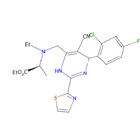 CCOC(=O)[C@H](C)N(CC)CC1=C(C#N)C(c2ccc(F)cc2Cl)N=C(c2nccs2)N1